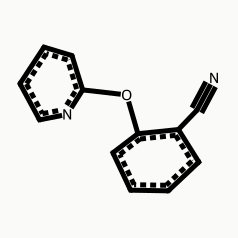 N#Cc1ccccc1Oc1ccccn1